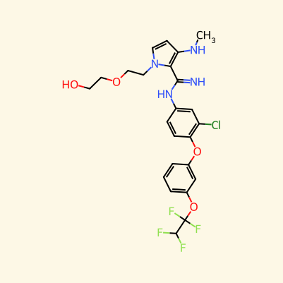 CNc1ccn(CCOCCO)c1C(=N)Nc1ccc(Oc2cccc(OC(F)(F)C(F)F)c2)c(Cl)c1